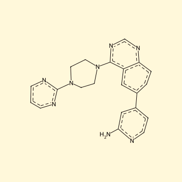 Nc1cc(-c2ccc3ncnc(N4CCN(c5ncccn5)CC4)c3c2)ccn1